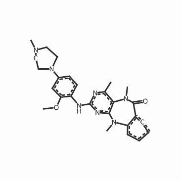 COc1cc(N2CCN(C)CC2)ccc1Nc1nc(C)c2c(n1)N(C)c1ccccc1C(=O)N2C